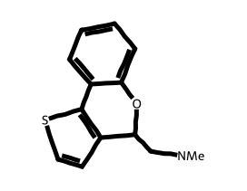 CNCC1Oc2ccccc2-c2sccc21